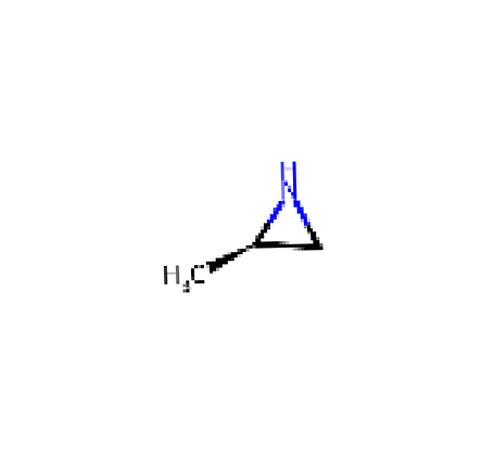 C[C@@H]1CN1